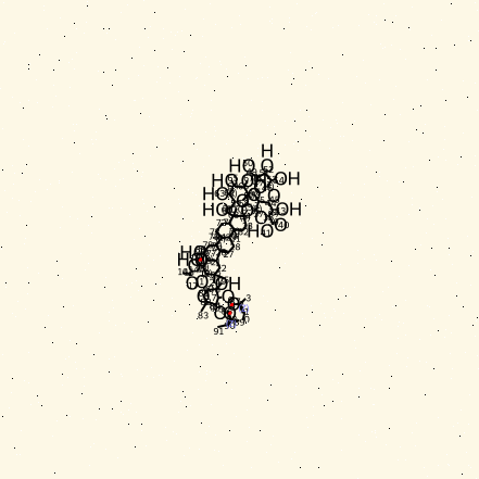 C/C=C(/C)C(=O)OC1C(O)[C@H](O[C@H]2[C@H](OC(C)=O)[C@@]3(CO)C(CC2(C)C)C2=CCC4[C@@]5(C)CC[C@H](O[C@@H]6OC(C(=O)O)[C@@H](O)C(O[C@@H]7O[C@@H](CO)C(O)C7O)C6O[C@@H]6OC(CO)[C@H](O)C(O)C6O)C(C)(C)C5CC[C@@]4(C)[C@]2(C)C[C@H]3O)OC(C)[C@@H]1OC(=O)/C(C)=C\C